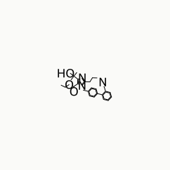 CCCc1nc(C(C)(C)O)c(C(=O)OCC)n1Cc1ccc(-c2ccccc2C#N)cc1